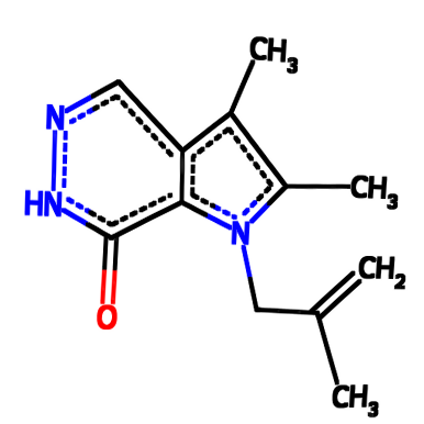 C=C(C)Cn1c(C)c(C)c2cn[nH]c(=O)c21